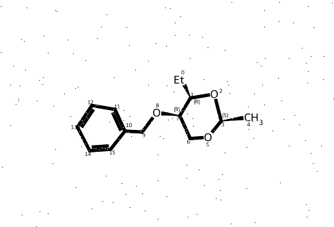 CC[C@H]1O[C@@H](C)OC[C@H]1OCc1ccccc1